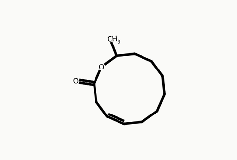 CC1CCCCCCC=CCC(=O)O1